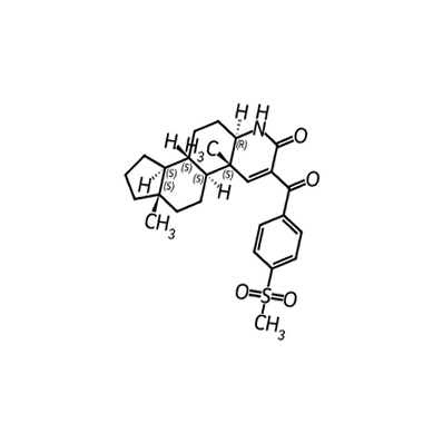 C[C@@]12CCC[C@H]1[C@@H]1CC[C@H]3NC(=O)C(C(=O)c4ccc(S(C)(=O)=O)cc4)=C[C@]3(C)[C@H]1CC2